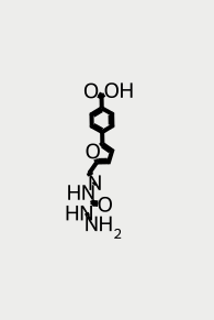 NNC(=O)N/N=C/c1ccc(-c2ccc(C(=O)O)cc2)o1